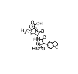 CC1(C)SC2C(NC(=O)C(c3ccc4c(c3)CCO4)S(=O)(=O)O)C(=O)N2C1C(=O)O